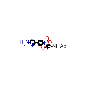 CC(=O)NC[C@@H]1OC(=O)N2c3ccc(-c4ccc(N)nc4)cc3OC[C@@H]12